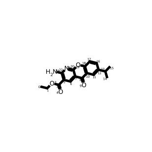 CCOC(=O)c1cc2c(=O)c3cc(C(C)C)ccc3oc2nc1N